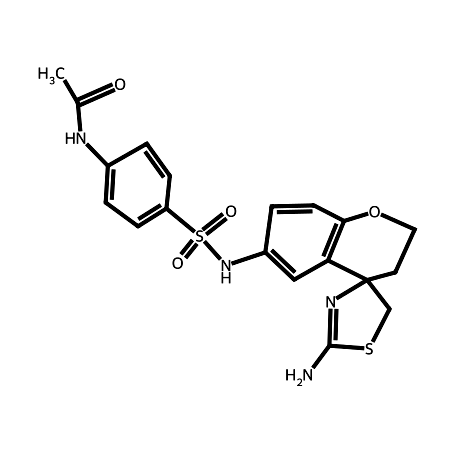 CC(=O)Nc1ccc(S(=O)(=O)Nc2ccc3c(c2)C2(CCO3)CSC(N)=N2)cc1